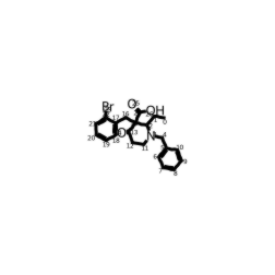 CCC1N(Cc2ccccc2)CCC(=O)C1(Cc1ccccc1Br)C(=O)O